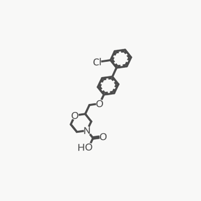 O=C(O)N1CCOC(COc2ccc(-c3ccccc3Cl)cc2)C1